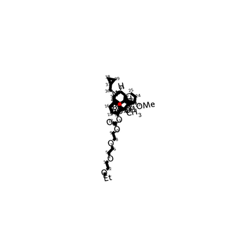 CCOCCOCCOCCOC(=O)Oc1ccc2c3c1O[C@H]1[C@]4(OC)CC[C@@]5(C[C@@H]4[C@](C)(O)C(C)(C)C)[C@@H](C2)N(CC2CC2)CC[C@]315